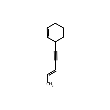 CC=CC#CC1C=CCCC1